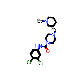 CCN1CCC[C@H](CN2CCN(C(=O)Nc3ccc(Cl)c(Cl)c3)CC2)C1